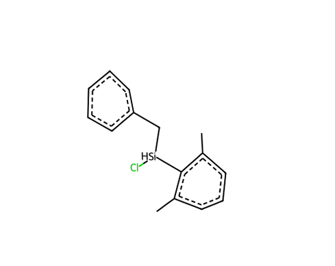 Cc1cccc(C)c1[SiH](Cl)Cc1ccccc1